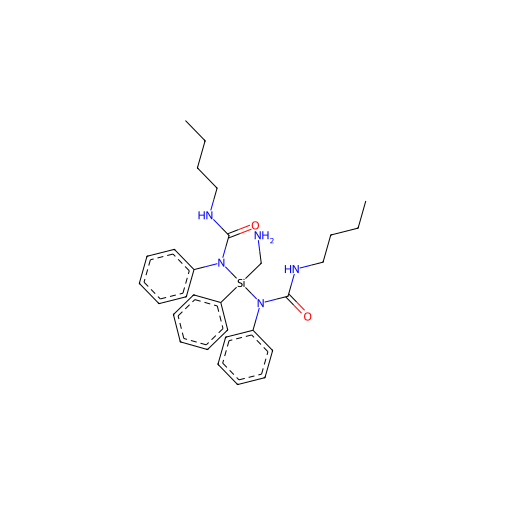 CCCCNC(=O)N(c1ccccc1)[Si](CN)(c1ccccc1)N(C(=O)NCCCC)c1ccccc1